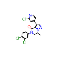 C[C@H]1CN(c2ccc(Cl)c(Cl)c2)C(=O)c2c(-c3ccnc(Cl)c3)cnn21